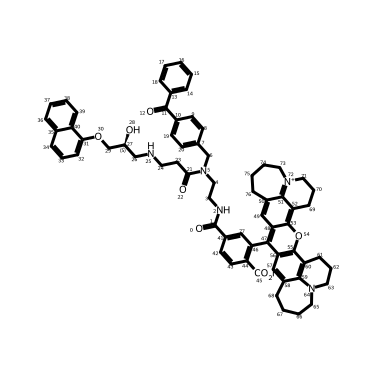 O=C(NCCN(Cc1ccc(C(=O)c2ccccc2)cc1)C(=O)CCNC[C@H](O)COc1cccc2ccccc12)c1ccc(C(=O)O)c(C2=c3cc4c5c(c3Oc3c2cc2c6c3CCCN6CCCC2)CCC[N+]=5CCCC4)c1